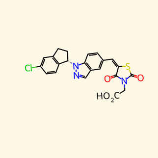 O=C(O)CN1C(=O)SC(=Cc2ccc3c(cnn3[C@H]3CCc4cc(Cl)ccc43)c2)C1=O